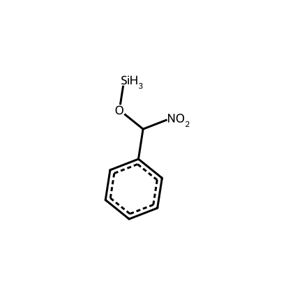 O=[N+]([O-])C(O[SiH3])c1ccccc1